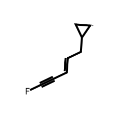 FC#CC=CCC1[CH]C1